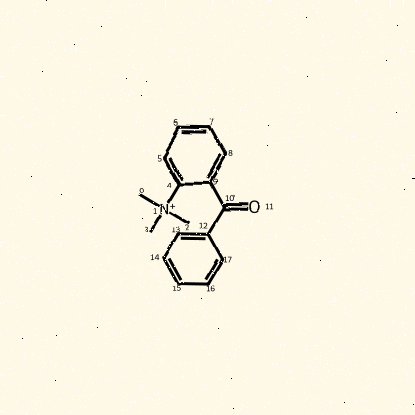 C[N+](C)(C)c1ccccc1C(=O)c1ccccc1